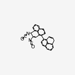 O=C=NC1=Cc2c(-c3ccc4cccc5c4c3C=CC5)ccc3cccc(c23)C1N=C=O